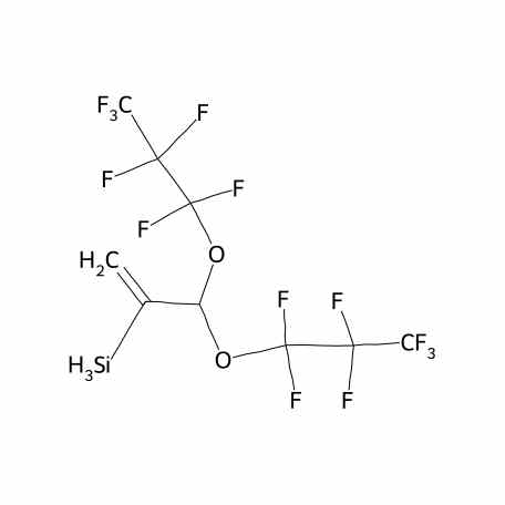 C=C([SiH3])C(OC(F)(F)C(F)(F)C(F)(F)F)OC(F)(F)C(F)(F)C(F)(F)F